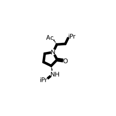 CC(=O)[C@H](CC(C)C)N1CC[C@@H](NC(C)C)C1=O